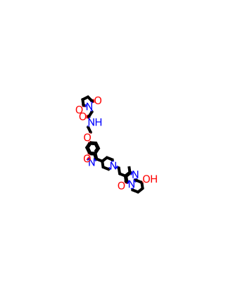 Cc1nc2n(c(=O)c1CCN1CCC(c3noc4cc(OCCNC(=O)CN5C(=O)CCC5=O)ccc34)CC1)CCCC2O